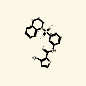 Nc1ccsc1C(=O)Nc1cccc(S(=O)(=O)N2CCCc3ccccc32)c1